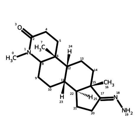 CN1C(=O)CC[C@@]2(C)C1CC[C@@H]1[C@H]2CC[C@]2(C)C(=NN)CC[C@@H]12